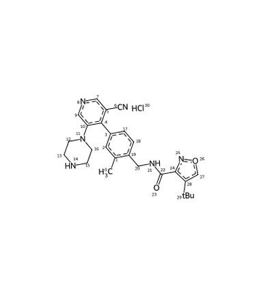 Cc1cc(-c2c(C#N)cncc2N2CCNCC2)ccc1CNC(=O)c1nocc1C(C)(C)C.Cl